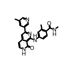 CNC(=O)c1ccc(Nc2nc(-c3cncc(C)c3)cc3cc[nH]c(=O)c23)cc1C